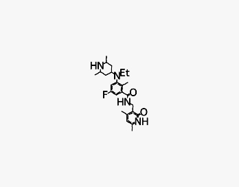 CCN(c1cc(F)cc(C(=O)NCc2c(C)cc(C)[nH]c2=O)c1C)C1CC(C)NC(C)C1